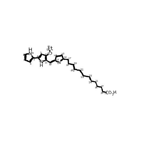 CCOc1cc(-c2ccc[nH]2)[nH]c1/C=C1\C=CC(CCCCCCCCCCCCC(=O)O)=N1